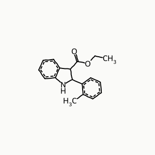 CCOC(=O)C1c2ccccc2NC1c1ccccc1C